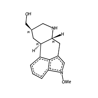 COn1cc2c3c(cccc31)[C@H]1C[C@@H](CO)CN[C@@H]1C2